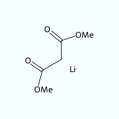 COC(=O)CC(=O)OC.[Li]